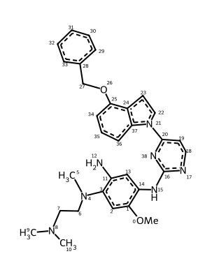 COc1cc(N(C)CCN(C)C)c(N)cc1Nc1nccc(-n2ccc3c(OCc4ccccc4)cccc32)n1